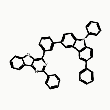 c1ccc(-c2ccc3c(c2)c2cc(-c4cccc(-c5nc(-c6ccccc6)nc6c5oc5ccccc56)c4)ccc2n3-c2ccccc2)cc1